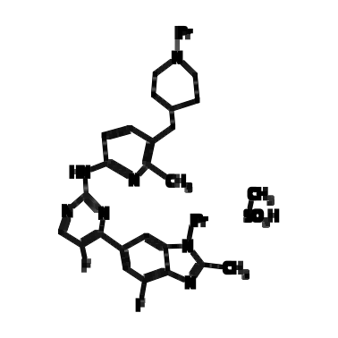 CS(=O)(=O)O.Cc1nc(Nc2ncc(F)c(-c3cc(F)c4nc(C)n(C(C)C)c4c3)n2)ccc1CC1CCN(C(C)C)CC1